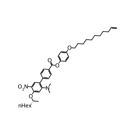 C=CCCCCCCCCCOc1ccc(OC(=O)c2ccc(-c3cc([N+](=O)[O-])c(O[C@H](C)CCCCCC)cc3N(C)C)cc2)cc1